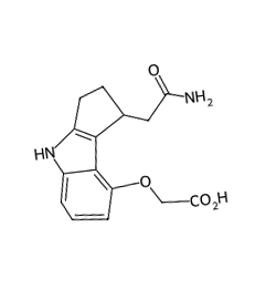 NC(=O)CC1CCc2[nH]c3cccc(OCC(=O)O)c3c21